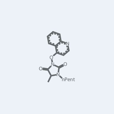 CCCCCN1C(=O)N(Oc2ccnc3ccccc23)C(=O)C1C